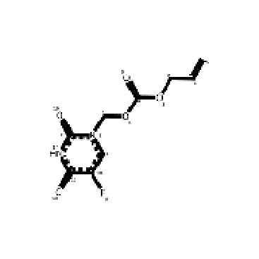 C=CCOC(=O)OCn1cc(F)c(=O)[nH]c1=O